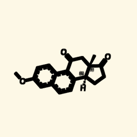 COc1ccc2c3c(ccc2c1)[C@@H]1CCC(=O)[C@@]1(C)CC3=O